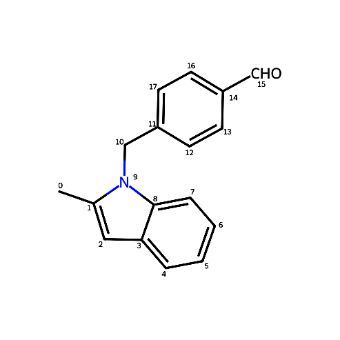 Cc1cc2ccccc2n1Cc1ccc(C=O)cc1